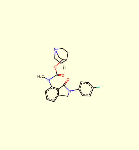 CN(C(=O)O[C@H]1CN2CCC1CC2)c1cccc2c1C(=O)N(c1ccc(F)cc1)C2